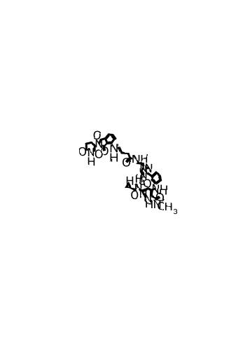 CNC(=O)c1nnc(NC(=O)C2CC2)cc1Nc1cccc(-c2ncn(CCNC(=O)CCCNc3cccc4c3C(=O)N(C3CCC(=O)NC3=O)C4=O)n2)c1OC